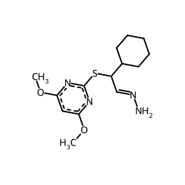 COc1cc(OC)nc(SC(C=NN)C2CCCCC2)n1